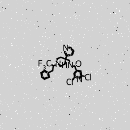 O=C(NCC1(c2cccnc2)CCN(C(Cc2ccccc2)C(F)(F)F)CC1)c1cc(Cl)nc(Cl)c1